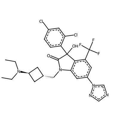 CCN(CC)[C@H]1C[C@H](CN2C(=O)C(O)(c3ccc(Cl)cc3Cl)c3c2cc(-n2cncn2)cc3C(F)(F)F)C1